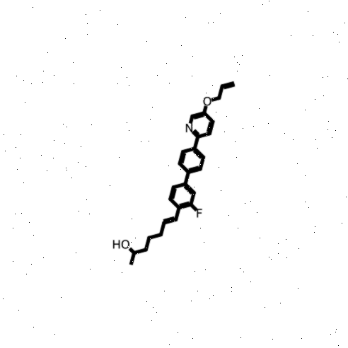 C=CCOc1ccc(-c2ccc(-c3ccc(C=CCCCC(C)O)c(F)c3)cc2)nc1